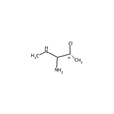 CNC(N)[C@@H](C)Cl